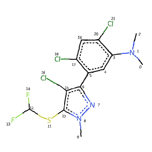 CN(C)c1cc(-c2nn(C)c(SC(F)F)c2Cl)c(Cl)cc1Cl